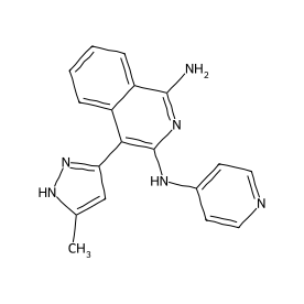 Cc1cc(-c2c(Nc3ccncc3)nc(N)c3ccccc23)n[nH]1